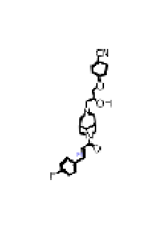 N#Cc1ccc(OCC(O)CN2CC3CC(C2)CN(C(=O)/C=C/c2ccc(F)cc2)C3)cc1